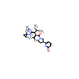 C=N/C(NC1(C)CC1)=C(/C(C(=O)N1CCC(c2cccc(Br)n2)C1)=C(C)C)C(C)C